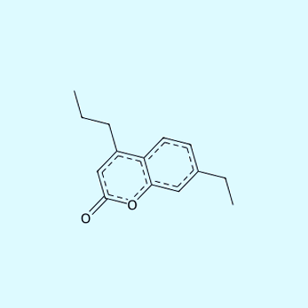 CCCc1cc(=O)oc2cc(CC)ccc12